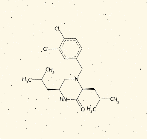 CC(C)C[C@H]1CN(Cc2ccc(Cl)c(Cl)c2)[C@@H](CC(C)C)C(=O)N1